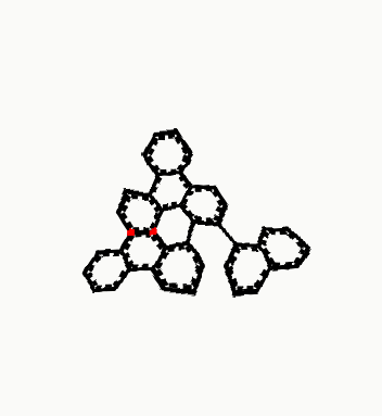 c1ccc2c(-c3ccc4c5ccccc5c5ccccc5c4c3-c3cccc4c3ccc3ccccc34)cccc2c1